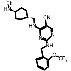 CCN[C@H]1CC[C@H](CNc2nc(NCc3ccccc3OC(F)(F)F)ncc2C#N)CC1